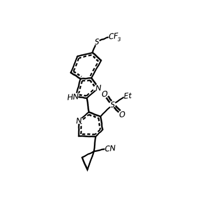 CCS(=O)(=O)c1cc(C2(C#N)CC2)cnc1-c1nc2cc(SC(F)(F)F)ccc2[nH]1